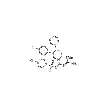 CS/C(N)=N\C(=N\S(=O)(=O)c1ccc(Cl)cc1)N1CCC(c2ccccc2)C(c2ccc(Cl)cc2)=N1